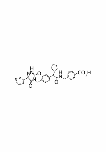 O=C(O)c1ccc(CNC(=O)C(c2ccc(Cn3c(=O)[nH]nc(-c4ccccc4)c3=O)cc2)C2CCCC2)cc1